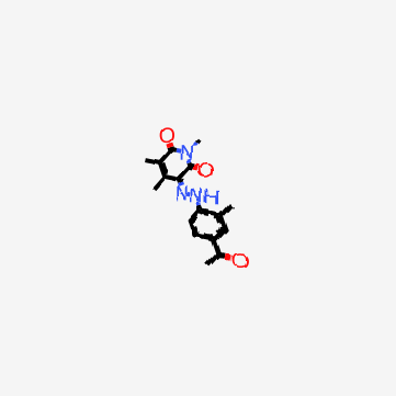 CC(=O)c1ccc(N/N=C2\C(=O)N(C)C(=O)C(C)=C2C)c(C)c1